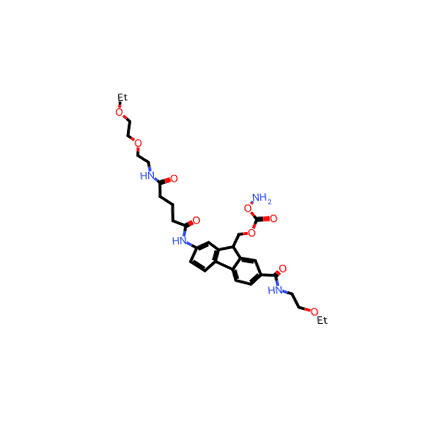 CCOCCNC(=O)c1ccc2c(c1)C(COC(=O)ON)c1cc(NC(=O)CCCC(=O)NCCOCCOCC)ccc1-2